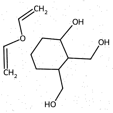 C=COC=C.OCC1CCCC(O)C1CO